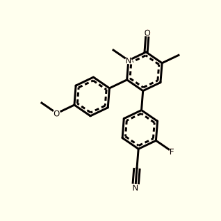 COc1ccc(-c2c(-c3ccc(C#N)c(F)c3)cc(C)c(=O)n2C)cc1